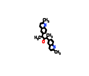 Cc1ccc2cc(C(C)C(=O)C(C)c3ccc4nc(C)ccc4c3)ccc2n1